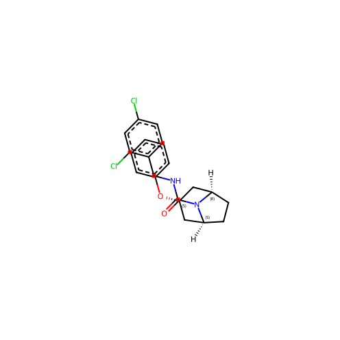 O=C(NCc1ccc(Cl)cc1Cl)N1[C@@H]2CC[C@H]1C[C@H](Oc1ccccc1)C2